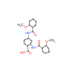 COc1ccccc1C(=O)Nc1ccc(C(=O)O)c(NC(=O)c2ccccc2OC)c1